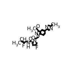 CC(=O)c1nn(CC(=O)N2C[C@H](F)C[C@H]2C(=O)NCC(F)=C(C)C)c2ccc(-c3cnc(C)cn3)cc12